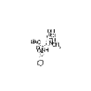 CN(C)C[C@@H](CCCB(O)O)[C@H](NC(=O)OCc1ccccc1)C(=O)OC(C)(C)C